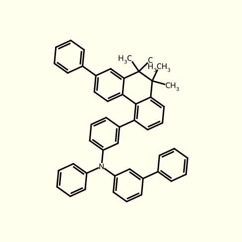 CC1(C)c2cc(-c3ccccc3)ccc2-c2c(-c3cccc(N(c4ccccc4)c4cccc(-c5ccccc5)c4)c3)cccc2C1(C)C